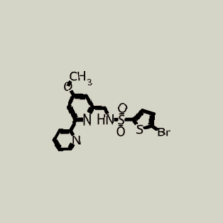 COc1cc(CNS(=O)(=O)c2ccc(Br)s2)nc(-c2ccccn2)c1